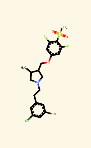 CC1CN(CCc2cc(Cl)cc(C#N)c2)CC1COc1cc(F)c(S(C)(=O)=O)c(F)c1